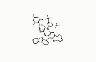 Cc1cc(C)c(-c2ccc3c(c2)N(c2cc(C(C)(C)C)cc(C(C)(C)C)c2)c2cc4c(oc5ccccc54)c4c2B3n2c3ccccc3c3cccc-4c32)c(C)c1